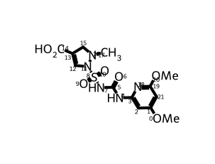 COc1cc(NC(=O)NS(=O)(=O)N2C=C(C(=O)O)CN2C)nc(OC)c1